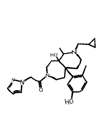 Cc1ccc(O)cc1C12CCN(C(=O)Cn3cccn3)CCC1(O)C(C)N(CC1CC1)CC2